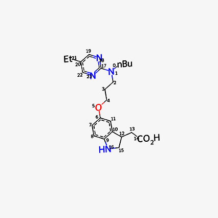 CCCCN(CCCOc1ccc2c(c1)C(CC(=O)O)CN2)c1ncc(CC)cn1